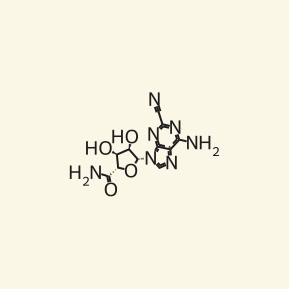 N#Cc1nc(N)c2ncn([C@@H]3O[C@H](C(N)=O)[C@@H](O)[C@H]3O)c2n1